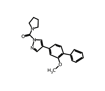 COc1cc(-c2cnn(C(=O)N3CCCC3)c2)ccc1-c1ccccc1